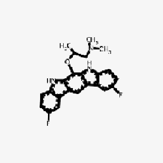 CC(CN(C)C)Oc1c2[nH]c3ccc(F)cc3c2cc2c1[nH]c1ccc(F)cc12